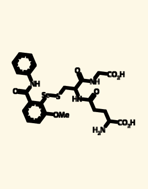 COc1cccc(C(=O)Nc2ccccc2)c1[Se]SCC(NC(=O)CCC(N)C(=O)O)C(=O)NCC(=O)O